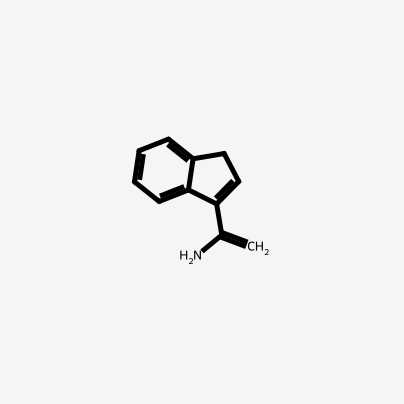 C=C(N)C1=CCc2ccccc21